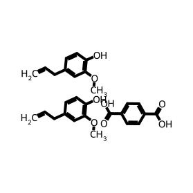 C=CCc1ccc(O)c(OC)c1.C=CCc1ccc(O)c(OC)c1.O=C(O)c1ccc(C(=O)O)cc1